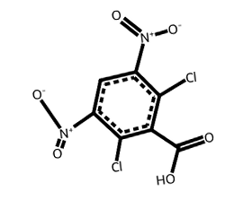 O=C(O)c1c(Cl)c([N+](=O)[O-])cc([N+](=O)[O-])c1Cl